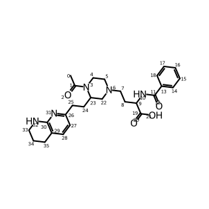 CC(=O)N1CCN(CCC(NC(=O)c2ccccc2)C(=O)O)CC1CCc1ccc2c(n1)NCCC2